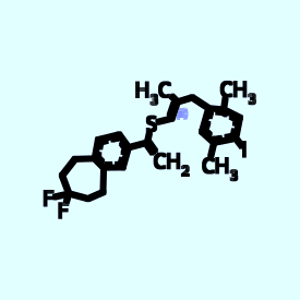 C=C(S/C=C(\C)Cc1cc(C)c(I)cc1C)c1ccc2c(c1)CCC(F)(F)CC2